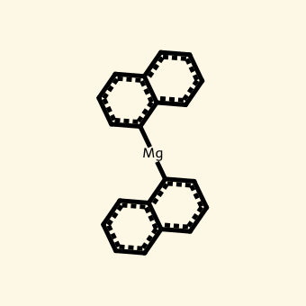 c1ccc2[c]([Mg][c]3cccc4ccccc34)cccc2c1